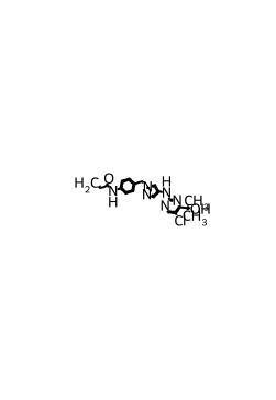 C=CC(=O)Nc1ccc(Cn2cc(Nc3ncc(Cl)c(C(C)(C)O)n3)cn2)cc1